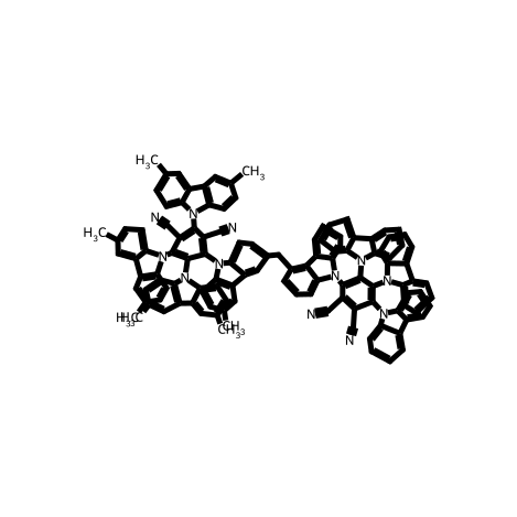 Cc1ccc2c(c1)c1cc(C)ccc1n2-c1c(C#N)c(-n2c3ccc(C)cc3c3cc(C)ccc32)c(-n2c3ccc(C)cc3c3cc(C)ccc32)c(-n2c3ccc(C)cc3c3cc(Cc4cccc5c4c4ccccc4n5-c4c(C#N)c(C#N)c(-n5c6ccccc6c6ccccc65)c(-n5c6ccccc6c6ccccc65)c4-n4c5ccccc5c5ccccc54)ccc32)c1C#N